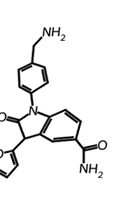 NCc1ccc(N2C(=O)C(c3ccco3)c3cc(C(N)=O)ccc32)cc1